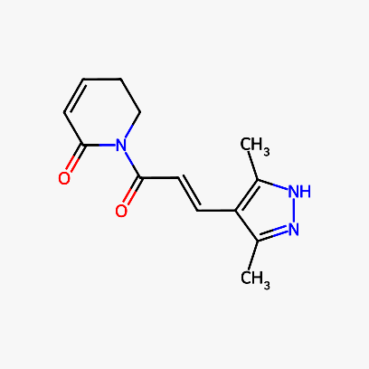 Cc1n[nH]c(C)c1C=CC(=O)N1CCC=CC1=O